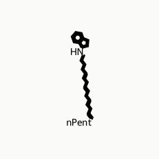 CCCCCC=CCC=CCC=CCC=CCCCCNC1CCc2ccccc21